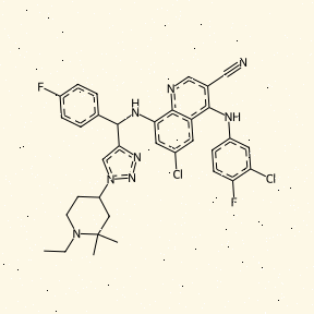 CCN1CCC(n2cc(C(Nc3cc(Cl)cc4c(Nc5ccc(F)c(Cl)c5)c(C#N)cnc34)c3ccc(F)cc3)nn2)CC1(C)C